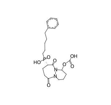 O=C(O)OC1CCCN2C(=O)CC[C@H](P(=O)(O)CCCCCc3ccccc3)C(=O)N12